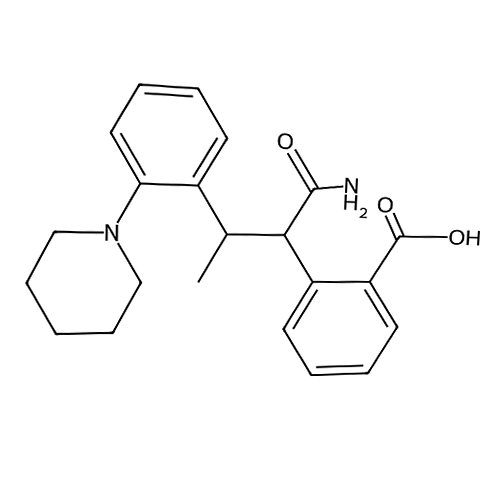 CC(c1ccccc1N1CCCCC1)C(C(N)=O)c1ccccc1C(=O)O